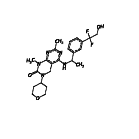 Cc1nc(NC(C)c2cccc(C(F)(F)CO)c2)c2c(n1)N(C)C(=O)N(C1CCOCC1)C2